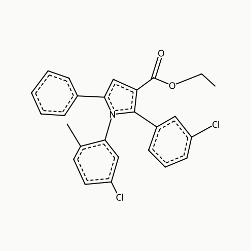 CCOC(=O)c1cc(-c2ccccc2)n(-c2cc(Cl)ccc2C)c1-c1cccc(Cl)c1